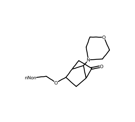 CCCCCCCCCCOC1CC2C(=O)CC1C2N1CCOCC1